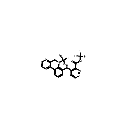 [2H]C([2H])([2H])NC(=O)c1nnccc1Nc1cccc2c1N(C([2H])([2H])[2H])Cc1nccnc1-2